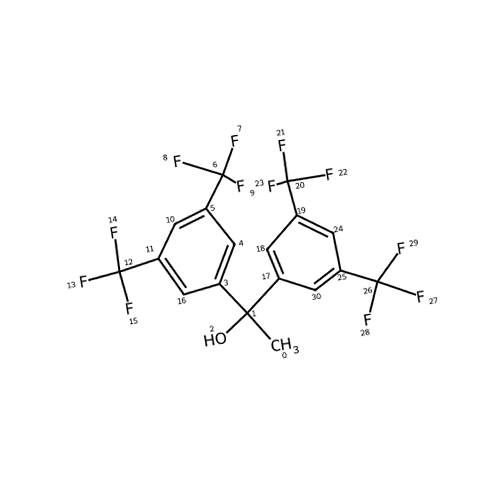 CC(O)(c1cc(C(F)(F)F)cc(C(F)(F)F)c1)c1cc(C(F)(F)F)cc(C(F)(F)F)c1